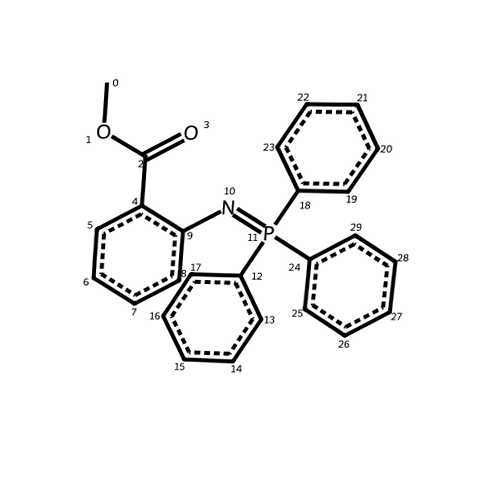 COC(=O)c1ccccc1N=P(c1ccccc1)(c1ccccc1)c1ccccc1